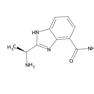 C[C@H](N)c1nc2c(C(N)=O)cccc2[nH]1